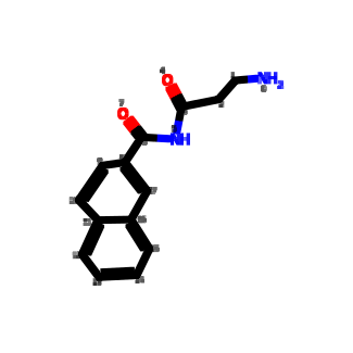 NCCC(=O)NC(=O)c1ccc2ccccc2c1